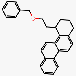 c1ccc(COCCC2CCCc3ccc4c(ccc5ccccc54)c32)cc1